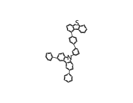 c1ccc(-c2ccc3c(c2)c2cc(-c4ccccc4)ccc2n3-c2cccc(-c3ccc(-c4cccc5sc6ccccc6c45)cc3)c2)cc1